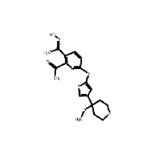 COC1(c2csc(Sc3ccc(/C(C)=N/O)c(C(C)=O)n3)c2)CCOCC1